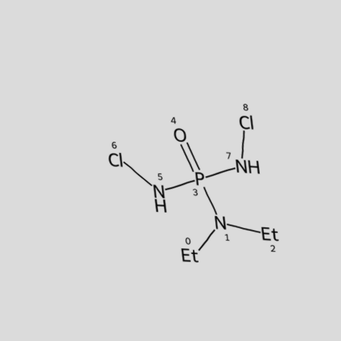 CCN(CC)P(=O)(NCl)NCl